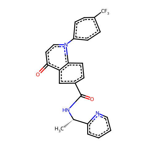 C[C@H](NC(=O)c1ccc2c(c1)c(=O)ccn2-c1ccc(C(F)(F)F)cc1)c1ccccn1